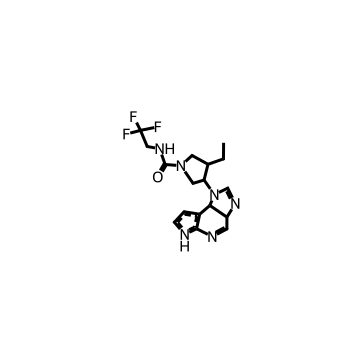 CCC1CN(C(=O)NCC(F)(F)F)CC1N1C=NC2C=Nc3[nH]ccc3C21